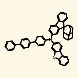 C1=CC(c2ccc(-c3ccccc3)cc2)CC=C1N(c1ccc2c(c1)C1(c3ccccc3-2)C2CC3CC(C2)CC1C3)c1ccc2c(c1)sc1ccccc12